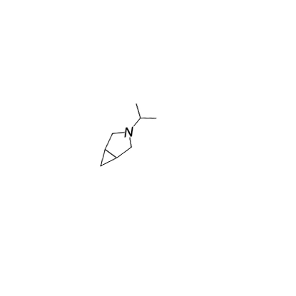 CC(C)N1CC2CC2C1